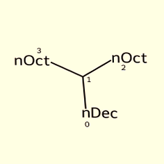 CCCCCCCCCCC(CCCCCCCC)CCCCCCCC